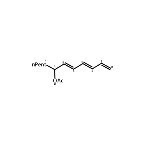 C=CC=CC=CC(CCCCC)OC(C)=O